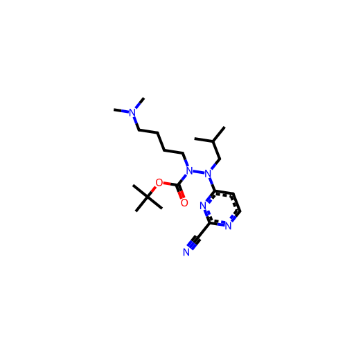 CC(C)CN(c1ccnc(C#N)n1)N(CCCCN(C)C)C(=O)OC(C)(C)C